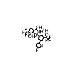 C[C@@H](NC(=O)c1cc(-c2ccc(F)cn2)cc(C(O)C(F)(F)F)c1)c1ccc(C(F)(F)F)[n+](O)c1